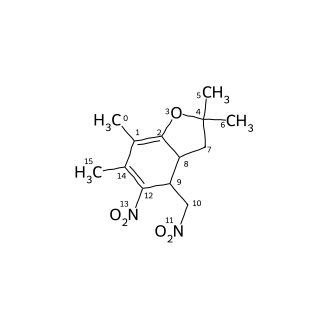 CC1=C2OC(C)(C)CC2C(C[N+](=O)[O-])C([N+](=O)[O-])=C1C